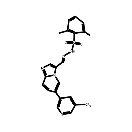 Cc1cccc(C)c1S(=O)(=O)NN=Cc1cnc2ccc(-c3cncc(C(F)(F)F)c3)cn12